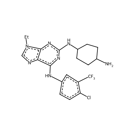 CCn1cnc2c(Nc3ccc(Cl)c(C(F)(F)F)c3)nc(NC3CCC(N)CC3)nc21